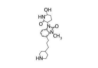 Cn1c(=O)n(C2CCC(O)NC2=O)c2cccc(CCCC3CCNCC3)c21